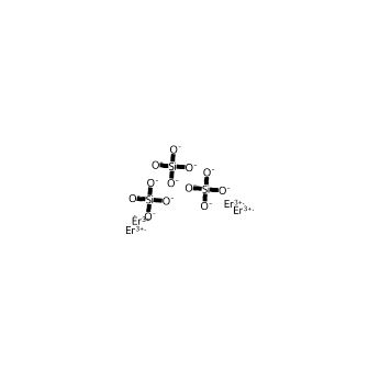 [Er+3].[Er+3].[Er+3].[Er+3].[O-][Si]([O-])([O-])[O-].[O-][Si]([O-])([O-])[O-].[O-][Si]([O-])([O-])[O-]